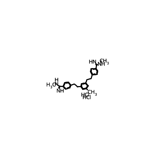 CNC(=N)c1ccc(CCc2cc(C)cc(CCc3ccc(C(=N)NC)cc3)c2)cc1.Cl.Cl